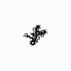 COCCCCn1c(C(=O)N(CC(C)C)[C@H]2C[C@@H](C(=O)N3CCC3)CN(C(=O)OC(C)(C)C)C2)nc2ccccc21